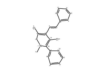 CN1CC(Cl)=C(C=Cc2ccccc2)C(Cl)=C1c1ccccn1